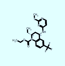 CCOC(=O)N1c2ccc(C(F)(F)F)cc2[C@@H](Nc2ccnc(SC)n2)C[C@H]1CC